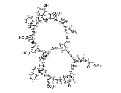 CNCC(=O)CN[C@@H](C)C(=O)N[C@H]1CSCc2cc3cc(c2)CSC[C@@H](NC(=O)[C@@H](C)NC(=O)[C@H](Cc2cccc4ccccc24)NC(=O)[C@H](CCC(=O)O)NC(=O)[C@H](CC(N)=O)NC(=O)[C@@H](C)NC1=O)C(=O)N[C@@H](CCC(=O)O)C(=O)N[C@@H](CC(=O)O)C(=O)N[C@@H](Cc1ccccc1)C(=O)N[C@@H](Cc1ccc(O)cc1)C(=O)N[C@@H](CC(=O)O)C(=O)N[C@@H](C(C)(C)C)C(=O)N[C@H](C(N)=O)CSC3